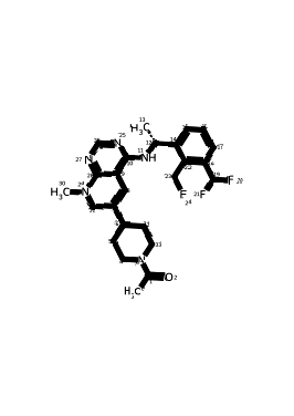 CC(=O)N1CCC(C2=Cc3c(N[C@H](C)c4cccc(C(F)F)c4CF)ncnc3N(C)C2)CC1